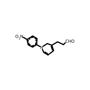 O=CCCC1=CC=CN(c2ccc([N+](=O)[O-])cc2)C1